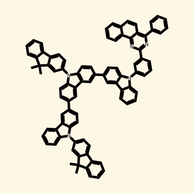 CC1(C)c2ccccc2-c2ccc(-n3c4ccccc4c4cc(-c5ccc6c(c5)c5cc(-c7ccc8c(c7)c7ccccc7n8-c7cccc(-c8nc(-c9ccccc9)c9ccc%10ccccc%10c9n8)c7)ccc5n6-c5ccc6c(c5)C(C)(C)c5ccccc5-6)ccc43)cc21